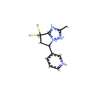 Cc1nc2n(n1)C(c1cccnc1)CC2(F)F